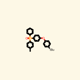 Cc1ccc(P(=O)(c2ccccc2)c2ccc(Oc3ccc(C(C)(C)C)cc3)cc2)cc1